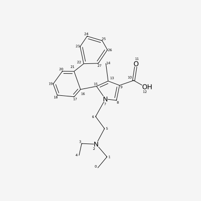 CCN(CC)CCn1cc(C(=O)O)c(C)c1-c1ccccc1-c1ccccc1